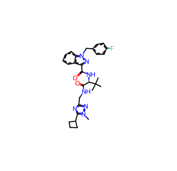 Cn1nc(CNC(=O)[C@@H](NC(=O)c2nn(Cc3ccc(F)cc3)c3ccccc23)C(C)(C)C)nc1C1CCC1